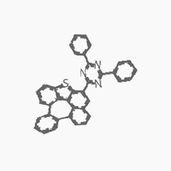 c1ccc(-c2nc(-c3ccccc3)nc(-c3cc4cccc5c4c4c3sc3cccc(c34)-c3ccccc3-5)n2)cc1